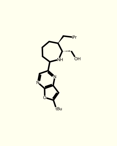 CC(C)C[C@@H]1CCCC(c2cnc3oc(C(C)(C)C)cc3n2)N[C@H]1CO